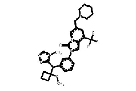 COC1(C(c2cccc(-n3cc4c(C(F)(F)F)cc(CN5CCCCC5)cn4c3=O)c2)c2nncn2C)CCC1